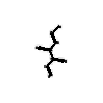 C=CC(=O)C(=O)C=CC